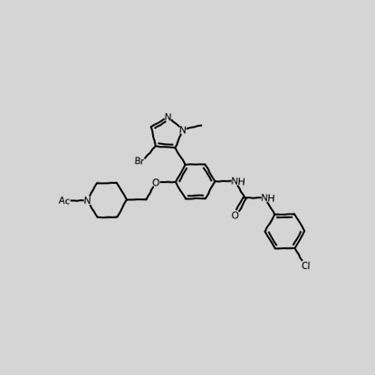 CC(=O)N1CCC(COc2ccc(NC(=O)Nc3ccc(Cl)cc3)cc2-c2c(Br)cnn2C)CC1